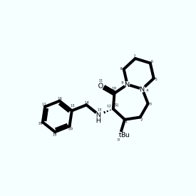 CC(C)(C)C1CCN2CCCCN2C(=O)[C@H]1NCc1ccccc1